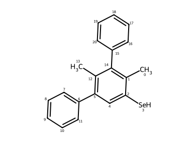 Cc1c([SeH])cc(-c2ccccc2)c(C)c1-c1ccccc1